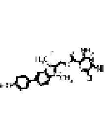 COc1ccc(-c2ccc3c(c2)n(C)c(COC(=O)c2nc(Cl)c(N)nc2N)[n+]3C)cc1.[I-]